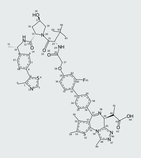 Cc1ncsc1-c1ccc([C@H](C)NC(=O)[C@@H]2C[C@@H](O)CN2C(=O)[C@@H](NC(=O)COc2ccc(-c3ccc(C4=N[C@@H](C(C)C(=O)O)c5nnc(C)n5-c5sc(C)c(C)c54)cc3)c(F)c2)C(C)(C)C)cc1